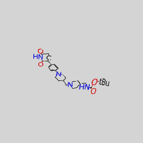 CC(C)(C)OC(=O)NCC1CCN(CC2CCN(c3ccc(C4CCC(=O)NC4=O)cc3)CC2)CC1